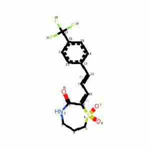 O=C1NCCCS(=O)(=O)/C1=C/C=C/c1ccc(C(F)(F)F)cc1